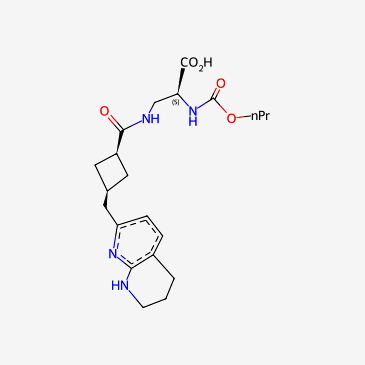 CCCOC(=O)N[C@@H](CNC(=O)[C@H]1C[C@@H](Cc2ccc3c(n2)NCCC3)C1)C(=O)O